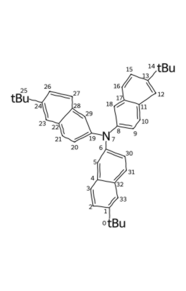 CC(C)(C)c1ccc2cc(N(c3ccc4cc(C(C)(C)C)ccc4c3)c3ccc4cc(C(C)(C)C)ccc4c3)ccc2c1